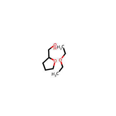 CCOCC.OCC1CCCO1